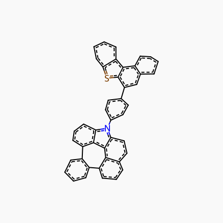 c1ccc2c(c1)-c1cccc3ccc4c(c13)c1c-2cccc1n4-c1ccc(-c2cc3ccccc3c3c2sc2ccccc23)cc1